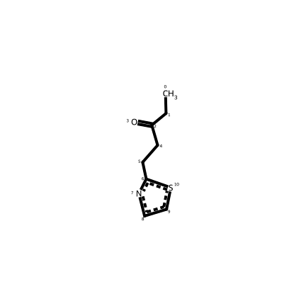 CCC(=O)CCc1nccs1